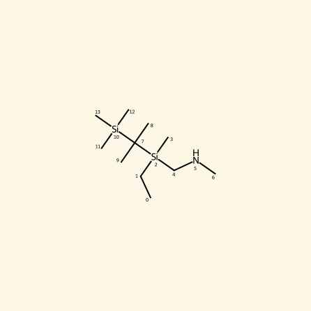 CC[Si](C)(CNC)C(C)(C)[Si](C)(C)C